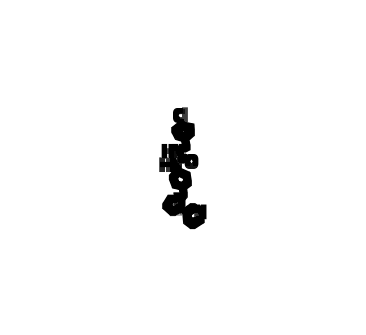 O=C(NCc1ccc(Cl)cc1)NC1CCC(CN2CCC[C@@H]2c2cccnc2)CC1